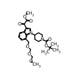 COCOCOCc1cccc2c(C(=O)C(=O)OC)cn(C3CCN(C(=O)OC(C)(C)C)CC3)c12